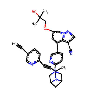 C#Cc1ccc(C#CC(C)N2C3CC2CN(c2ccc(-c4cc(OCC(C)(C)O)cn5ncc(C#N)c45)cn2)C3)nc1